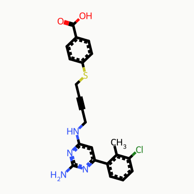 Cc1c(Cl)cccc1-c1cc(NCC#CCSc2ccc(C(=O)O)cc2)nc(N)n1